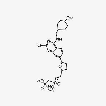 O=P(O)(O)CP(=O)(O)OC[C@@H]1CC[C@H](c2ccc3c(NCC4CCC(O)CC4)nc(Cl)nc3c2)O1